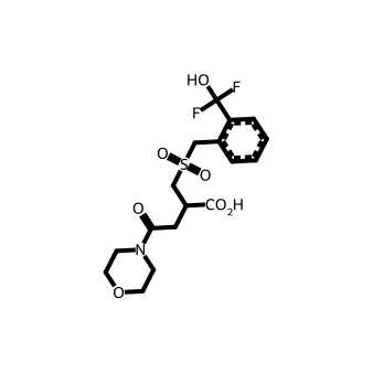 O=C(O)C(CC(=O)N1CCOCC1)CS(=O)(=O)Cc1ccccc1C(O)(F)F